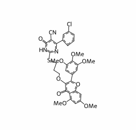 COc1cc(OC)c2c(=O)c(OCCCSc3nc(-c4cccc(Cl)c4)c(C#N)c(=O)[nH]3)c(-c3cc(OC)c(OC)c(OC)c3)oc2c1